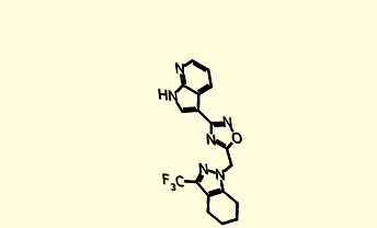 FC(F)(F)c1nn(Cc2nc(-c3c[nH]c4ncccc34)no2)c2c1CCCC2